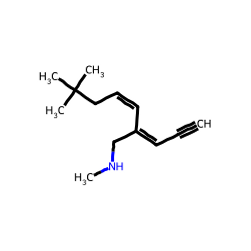 C#C/C=C(\C=C/CC(C)(C)C)CNC